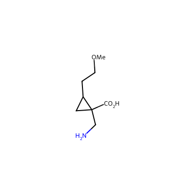 COCCC1CC1(CN)C(=O)O